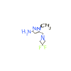 Cn1nc(N)cc1CN1CC(F)(F)C1